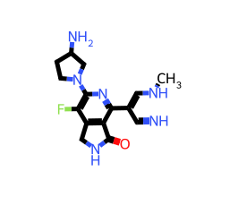 CN/C=C(\C=N)c1nc(N2CCC(N)C2)c(F)c2c1C(=O)NC2